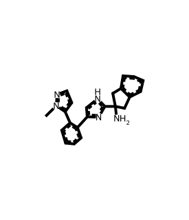 Cn1nccc1-c1ccccc1-c1c[nH]c(C2(N)Cc3ccccc3C2)n1